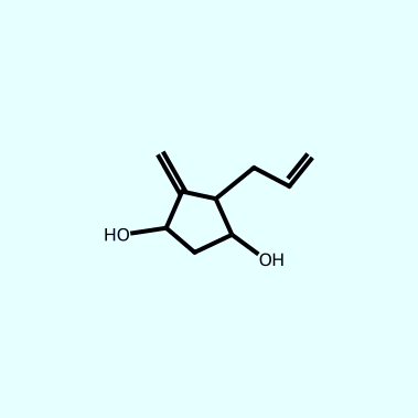 C=CCC1C(=C)C(O)CC1O